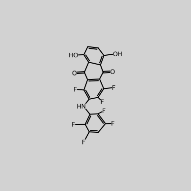 O=C1c2c(O)ccc(O)c2C(=O)c2c(F)c(Nc3c(F)c(F)cc(F)c3F)c(F)c(F)c21